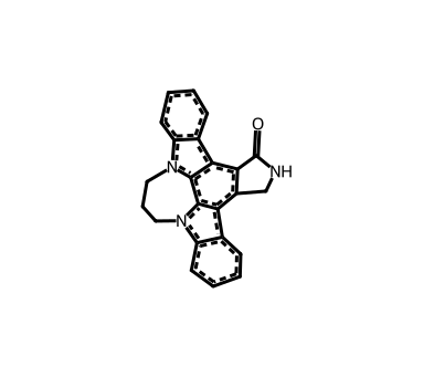 O=C1NCc2c1c1c3ccccc3n3c1c1c2c2ccccc2n1CCC3